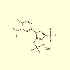 O[C@H]1c2c(C(F)(F)F)cn(-c3ccc(F)c(C(F)F)c3)c2CC1(F)F